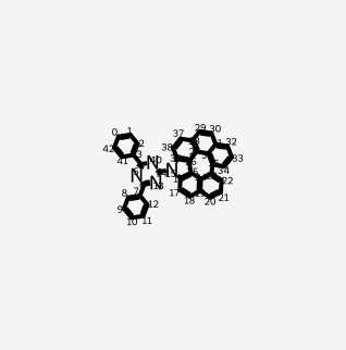 c1ccc(-c2nc(-c3ccccc3)nc(-n3c4ccc5cccc6c5c4c4c5c(ccc7cccc-6c75)ccc43)n2)cc1